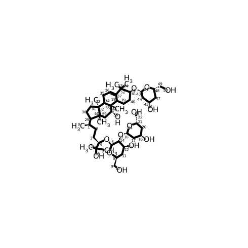 C[C@H](CC[C@@H](O[C@@H]1O[C@H](CO)C[C@H](O)[C@H]1O[C@H]1C[C@@H](O)C[C@@H](CO)O1)C(C)(C)O)C1CC[C@@]2(C)C3CC=C4C(CC[C@H](O[C@H]5C[C@@H](O)C[C@@H](CO)O5)C4(C)C)[C@]3(C)[C@H](O)C[C@]12C